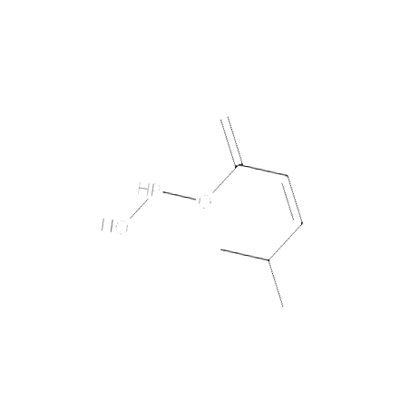 C=C(/C=C\C(C)C)OPO